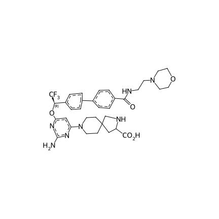 Nc1nc(O[C@H](c2ccc(-c3ccc(C(=O)NCCN4CCOCC4)cc3)cc2)C(F)(F)F)cc(N2CCC3(CC2)CNC(C(=O)O)C3)n1